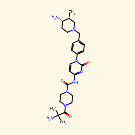 C[C@H]1CN(Cc2ccc(-n3ccc(NC(=O)N4CCN(C(=O)C(C)(C)N)CC4)nc3=O)cc2)CC[C@@H]1N